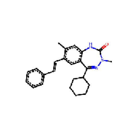 Cc1cc2c(cc1C=Cc1ccccc1)C(C1CCCCC1)=NN(C)C(=O)N2